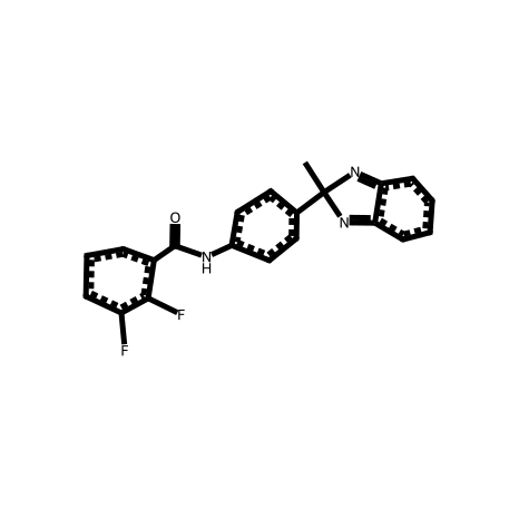 CC1(c2ccc(NC(=O)c3cccc(F)c3F)cc2)N=c2ccccc2=N1